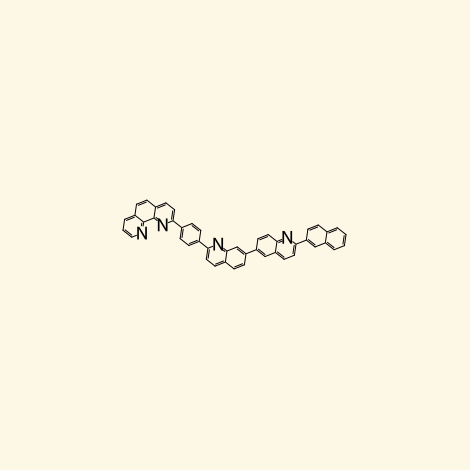 c1ccc2cc(-c3ccc4cc(-c5ccc6ccc(-c7ccc(-c8ccc9ccc%10cccnc%10c9n8)cc7)nc6c5)ccc4n3)ccc2c1